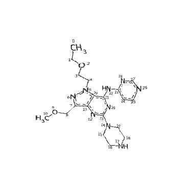 CCOCCn1nc(COC)c2nc(N3CCNCC3)nc(Nc3ccncn3)c21